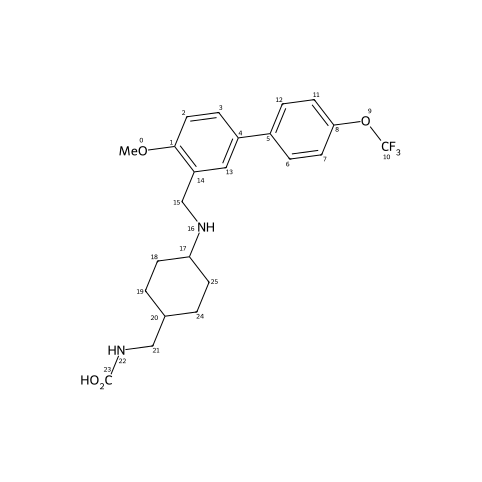 COc1ccc(-c2ccc(OC(F)(F)F)cc2)cc1CNC1CCC(CNC(=O)O)CC1